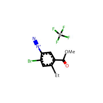 CCc1cc(Br)c([N+]#N)cc1C(=O)OC.F[B-](F)(F)F